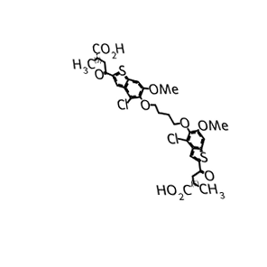 COc1cc2sc(C(=O)C[C@H](C)C(=O)O)cc2c(Cl)c1OCCCCOc1c(OC)cc2sc(C(=O)C[C@H](C)C(=O)O)cc2c1Cl